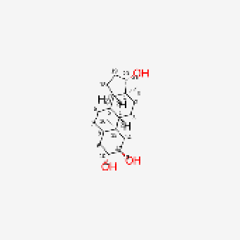 C[C@]12CC[C@H]3[C@@H](CCC4C[C@@H](O)[C@H](O)C[C@@]43C)[C@@H]1CC[C@@H]2O